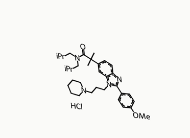 COc1ccc(-c2nc3ccc(C(C)(C)C(=O)N(CC(C)C)CC(C)C)cc3n2CCCN2CCCCC2)cc1.Cl